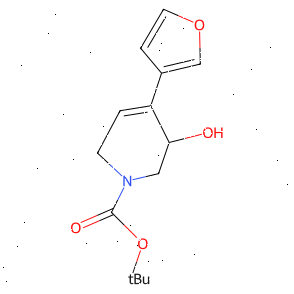 CC(C)(C)OC(=O)N1CC=C(c2ccoc2)C(O)C1